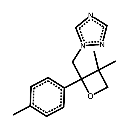 Cc1ccc(C2(Cn3cncn3)OCC2(C)C)cc1